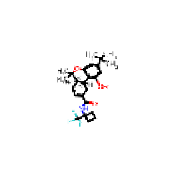 CC(C)(C)c1cc(O)c2c(c1)OC(C)(C)[C@@H]1CC=C(C(=O)NC3(C(F)(F)F)CCC3)C[C@@H]21